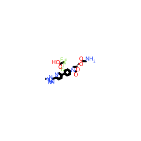 Cn1nnc(-c2ccc(-c3ccc(N4C[C@H](COC(=O)CN)OC4=O)cc3F)cn2)n1.O=C(O)C(F)(F)F